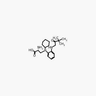 CC(C)(C)C(=O)CNc1ccccc1N(C[C@@H](N)C(=O)O)C1CCCCC1